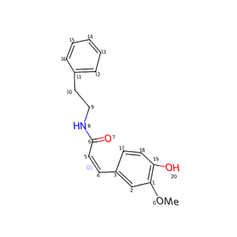 COc1cc(/C=C\C(=O)NCCc2ccccc2)ccc1O